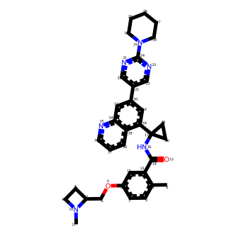 Cc1ccc(OCC2CCN2C)cc1C(=O)NC1(c2cc(-c3cnc(N4CCCCC4)nc3)cc3ncccc23)CC1